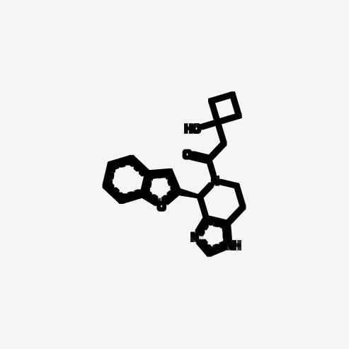 O=C(CC1(O)CCC1)N1CCc2[nH]cnc2[C@H]1c1cc2ccccc2o1